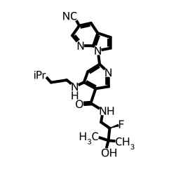 CC(C)CCNc1cc(-n2ccc3cc(C#N)cnc32)ncc1C(=O)NC[C@@H](F)C(C)(C)O